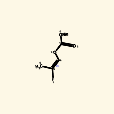 COC(=O)O/C=C(\C)F